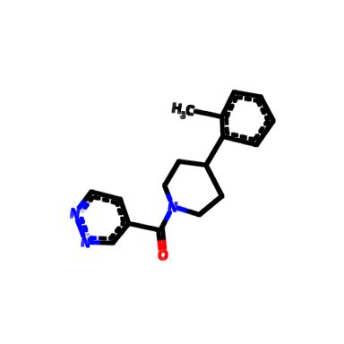 Cc1ccccc1C1CCN(C(=O)c2ccnnc2)CC1